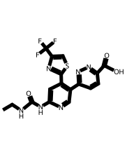 CCNC(=O)Nc1cc(-c2nc(C(F)(F)F)cs2)c(-c2ccc(C(=O)O)nn2)cn1